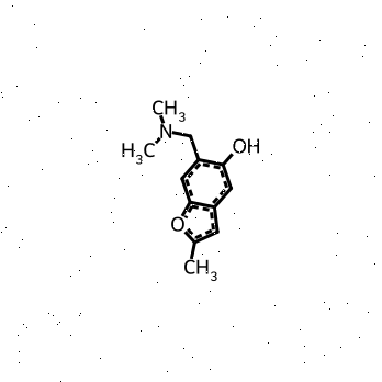 Cc1cc2cc(O)c(CN(C)C)cc2o1